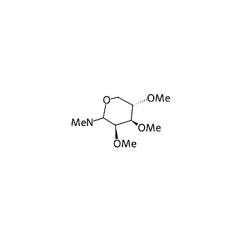 CNC1OC[C@H](OC)[C@@H](OC)[C@H]1OC